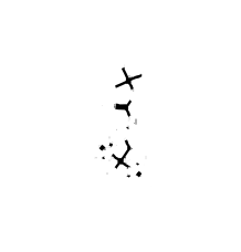 CC(C)(C)OC(=O)NOCC(O)(P(=O)(O)O)P(=O)(O)O